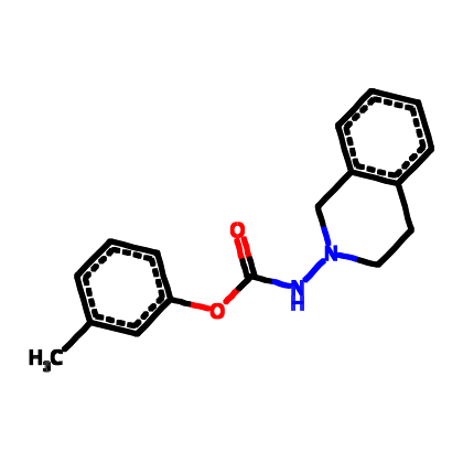 Cc1cccc(OC(=O)NN2CCc3ccccc3C2)c1